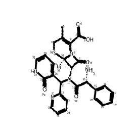 CC1=C(C(=O)O)N2C(=O)[C@@H](N(C(=O)[C@H](N)c3ccccc3)C(c3ccccn3)c3ccc[nH]c3=O)[C@H]2SC1